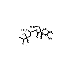 CCC[C@H](N)C(=O)[C@](N)(CSC)C(=O)NC(CP(=O)(O)C(C)N)C(=O)O